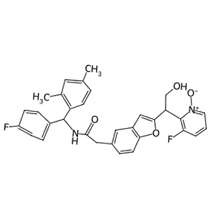 Cc1ccc(C(NC(=O)Cc2ccc3oc(C(CO)c4c(F)ccc[n+]4[O-])cc3c2)c2ccc(F)cc2)c(C)c1